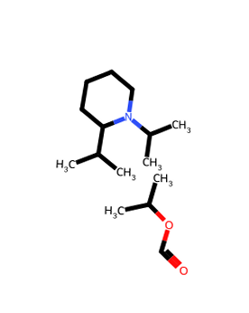 CC(C)C1CCCCN1C(C)C.CC(C)OC=O